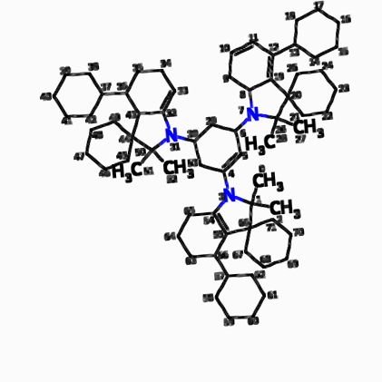 CC1(C)N(C2=CC(N3C4CC=CC(C5CCCCC5)=C4C4(CCCCC4)C3(C)C)CC(N3C4=CCCC(C5CCCCC5)C4C4(CCCCC4)C3(C)C)C2)C2=C(C(C3CCCCC3)CCC2)C12CCCCC2